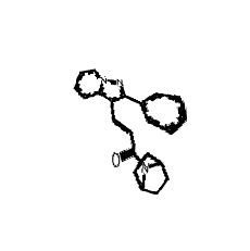 O=C(/C=C/c1c(-c2ccccc2)nn2ccccc12)N1C2CCC1CC2